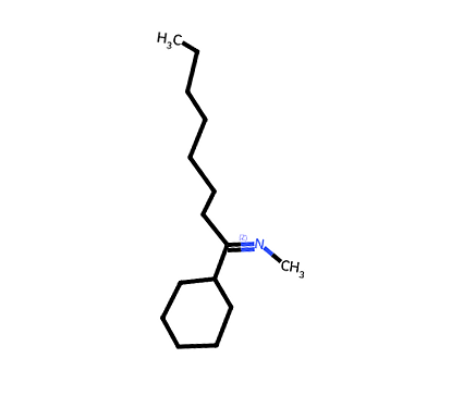 CCCCCCC/C(=N/C)C1CCCCC1